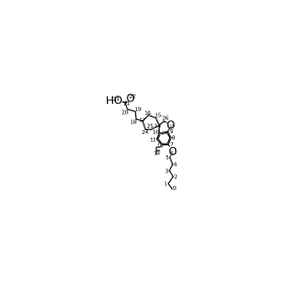 CCCCCCOc1cc2c(cc1F)C1(CCC(CCCC(=O)O)CC1)CO2